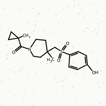 CC1(CS(=O)(=O)c2ccc(O)cc2)CCN(C(=O)C2(C)CC2)CC1